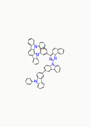 c1ccc(-n2c3ccccc3c3cc(-c4ccc5c(c4)c4ccccc4n5-c4nc(-c5cccc(-n6c7ccccc7c7ccc8c9ccccc9n(-c9ccccc9)c8c76)c5)c5ccc6ccccc6c5n4)ccc32)cc1